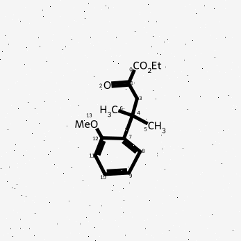 CCOC(=O)C(=O)CC(C)(C)c1ccccc1OC